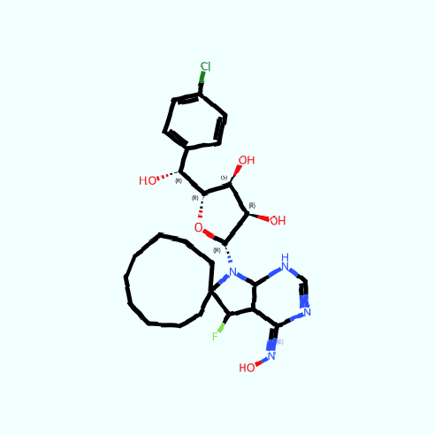 O/N=C1/N=CNC2C1C(F)C1(CCCCCCCCC1)N2[C@@H]1O[C@H]([C@H](O)c2ccc(Cl)cc2)[C@@H](O)[C@H]1O